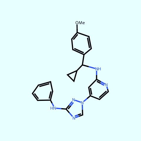 COc1ccc(C(Nc2cc(-n3cnc(Nc4ccccc4)n3)ccn2)C2CC2)cc1